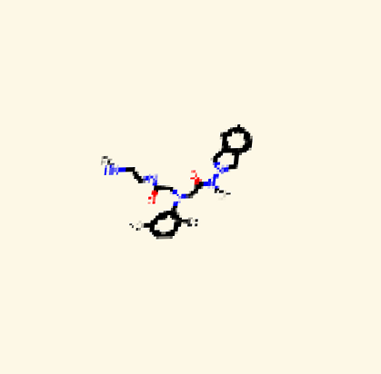 CCc1ccc(C#N)cc1N(CC(=O)NCCNC(C)C)CC(=O)N(C)N1Cc2ccccc2C1